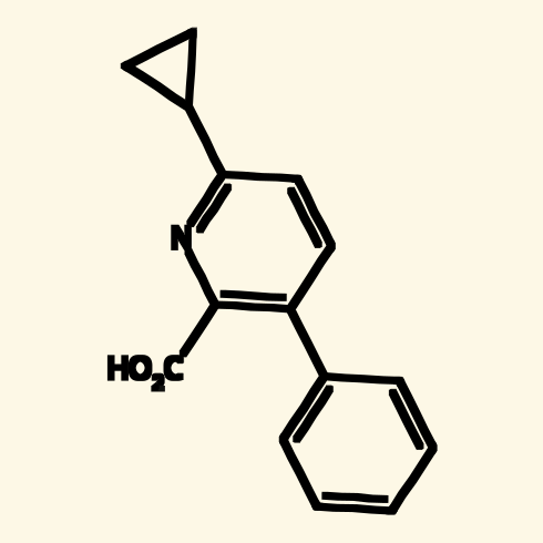 O=C(O)c1nc(C2CC2)ccc1-c1ccccc1